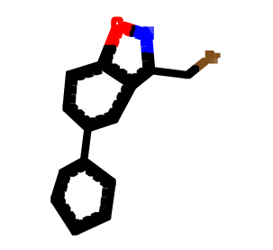 BrCc1noc2ccc(-c3ccccc3)cc12